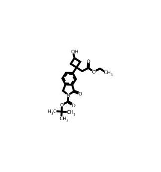 CCOC(=O)CC1(c2ccc3c(c2)C(=O)N(C(=O)OC(C)(C)C)C3)CC(O)C1